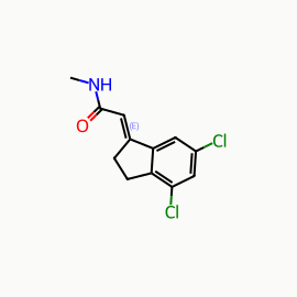 CNC(=O)/C=C1\CCc2c(Cl)cc(Cl)cc21